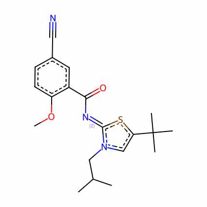 COc1ccc(C#N)cc1C(=O)/N=c1\sc(C(C)(C)C)cn1CC(C)C